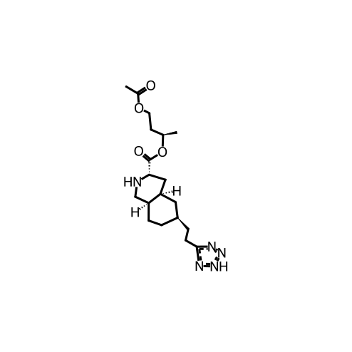 CC(=O)OCC[C@@H](C)OC(=O)[C@@H]1C[C@H]2C[C@@H](CCc3nn[nH]n3)CC[C@H]2CN1